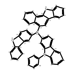 c1ccc(-n2c3ccccc3c3ccc(N(c4ccc5oc6ccccc6c5c4)c4cc5c6ccccc6sc5c5ccccc45)cc32)cc1